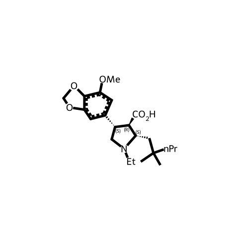 CCCC(C)(C)C[C@H]1[C@H](C(=O)O)[C@@H](c2cc(OC)c3c(c2)OCO3)CN1CC